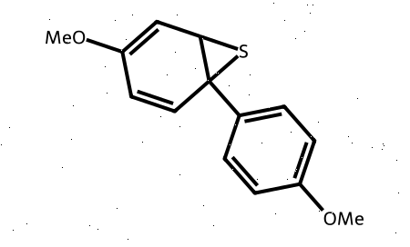 COC1=CC2SC2(c2ccc(OC)cc2)C=C1